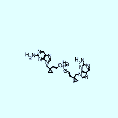 Nc1ncc2ncn(CC3(C=CO[PH](=O)OC=CC4(Cn5cnc6cnc(N)nc65)CC4)CC3)c2n1